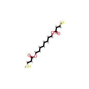 O=C(CCS)OCCCCCCCCOC(=O)CCS